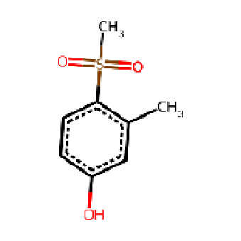 Cc1cc(O)ccc1S(C)(=O)=O